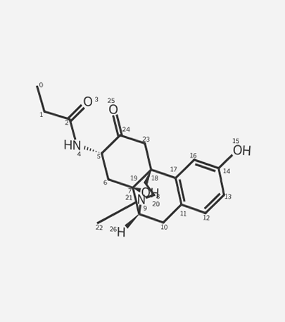 CCC(=O)N[C@H]1C[C@@]2(O)[C@H]3Cc4ccc(O)cc4[C@@]2(CCN3C)CC1=O